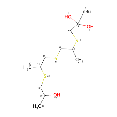 CCCCC(O)(O)CSC(C)CSCC(C)SCC(C)O